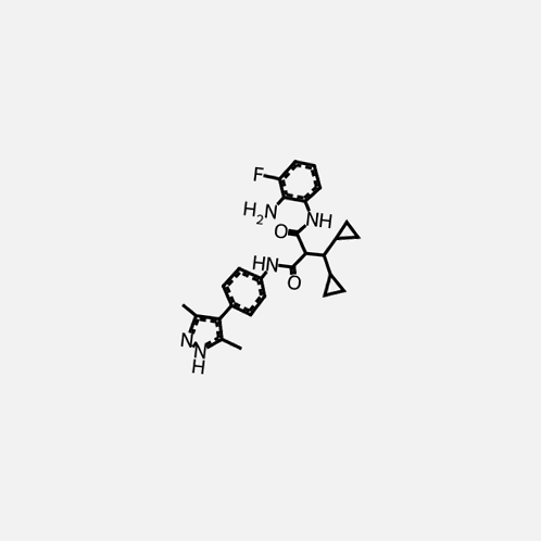 Cc1n[nH]c(C)c1-c1ccc(NC(=O)C(C(=O)Nc2cccc(F)c2N)C(C2CC2)C2CC2)cc1